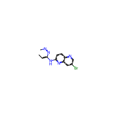 C/C=C(\N=N/C)Nc1ccc2ncc(Br)cc2n1